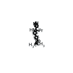 CC(C)c1c(-c2ccc3ncnn3c2)[nH]c2ccc(C3CCN(C(=O)CN(C)C)CC3)cc12